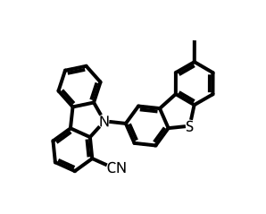 Cc1ccc2sc3ccc(-n4c5ccccc5c5cccc(C#N)c54)cc3c2c1